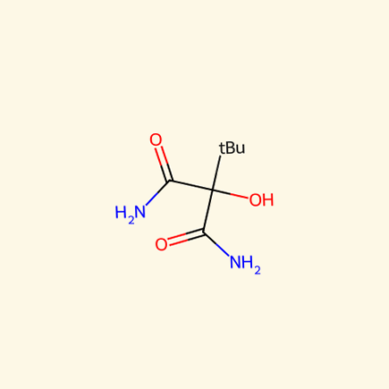 CC(C)(C)C(O)(C(N)=O)C(N)=O